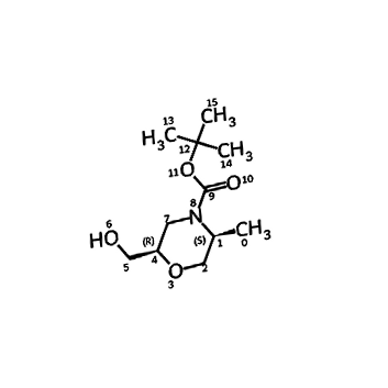 C[C@H]1CO[C@@H](CO)CN1C(=O)OC(C)(C)C